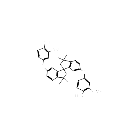 COc1cc(Oc2ccc3c(c2)C2(CC3(C)C)CC(C)(C)c3ccc(Oc4ccc(N)c(OC)c4)cc32)ccc1N